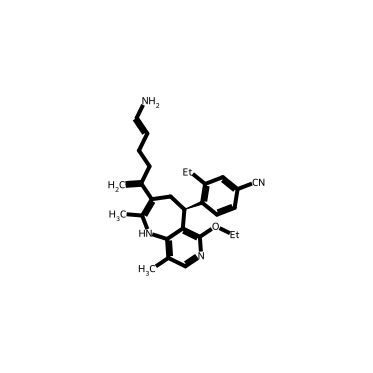 C=C(CC/C=C/N)C1=C(C)Nc2c(C)cnc(OCC)c2[C@H](c2ccc(C#N)cc2CC)C1